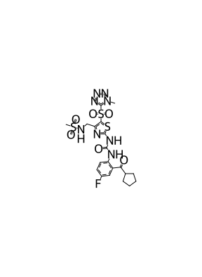 Cn1nnnc1S(=O)(=O)c1sc(NC(=O)Nc2ccc(F)cc2C(=O)C2CCCC2)nc1CNS(C)(=O)=O